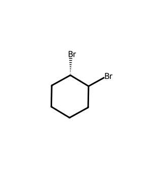 BrC1CCCC[C@@H]1Br